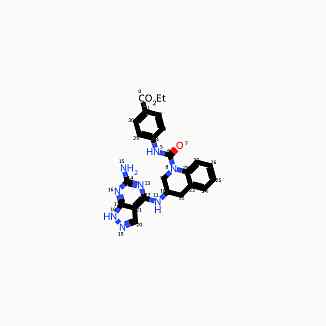 CCOC(=O)c1ccc(NC(=O)N2CC(Nc3nc(N)nc4[nH]ncc34)Cc3ccccc32)cc1